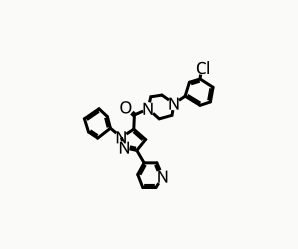 O=C(c1cc(-c2cccnc2)nn1-c1ccccc1)N1CCN(c2cccc(Cl)c2)CC1